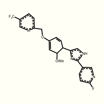 COC1C=C(OCc2ccc(C(F)(F)F)cn2)C=CC1c1c[nH]c(-c2ccc(F)nc2)n1